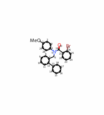 COc1ccc(N(Cc2ccccc2-c2ccccc2)C(=O)c2ccccc2Br)cc1